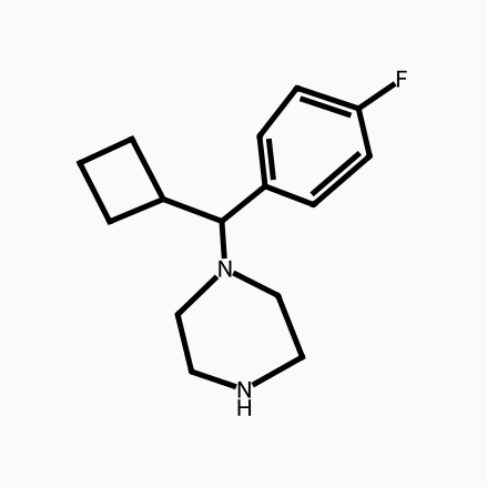 Fc1ccc(C(C2CCC2)N2CCNCC2)cc1